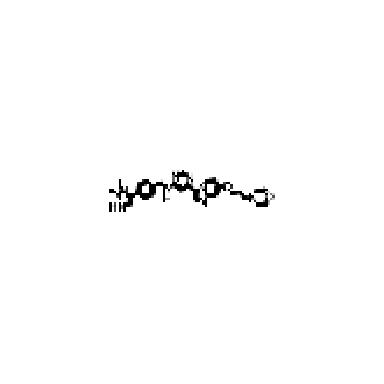 CN/N=C(\C=N)c1ccc(CNc2cc(-c3cnc4cc(OCCCN5CCOCC5)ccn34)ncn2)cc1